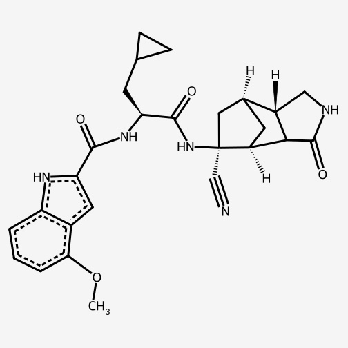 COc1cccc2[nH]c(C(=O)N[C@@H](CC3CC3)C(=O)N[C@@]3(C#N)C[C@@H]4C[C@H]3C3C(=O)NC[C@H]34)cc12